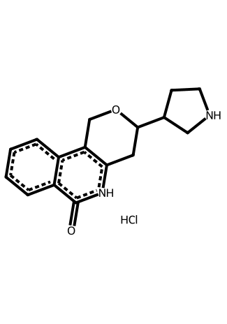 Cl.O=c1[nH]c2c(c3ccccc13)COC(C1CCNC1)C2